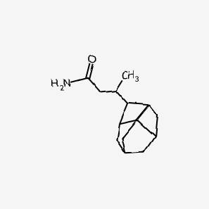 CC(CC(N)=O)C1C2CC3CC(C2)CC1C3